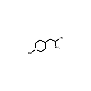 N#CC(N)CC1CCN(O)CC1